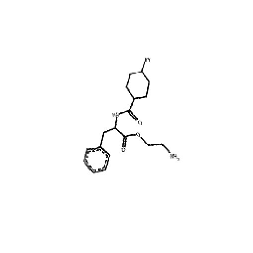 CC(C)C1CCC(C(=O)NC(Cc2ccccc2)C(=O)OCCN)CC1